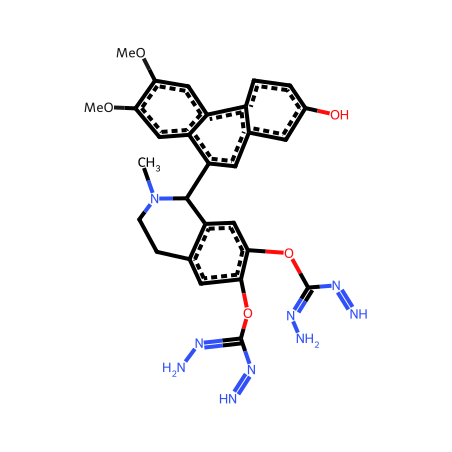 COc1cc2c(C3c4cc(OC(N=N)=NN)c(OC(N=N)=NN)cc4CCN3C)cc3cc(O)ccc3c2cc1OC